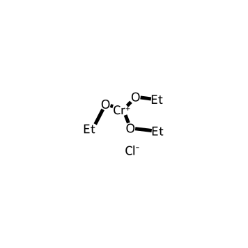 CC[O][Cr+]([O]CC)[O]CC.[Cl-]